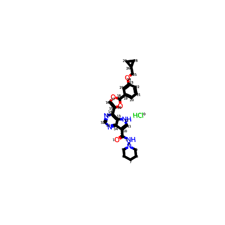 Cl.O=C(NN1CCCCC1)c1c[nH]c2c(C3=COC(c4cccc(OCC5CC5)c4)O3)ncnc12